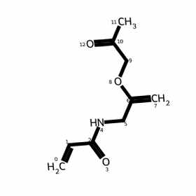 C=CC(=O)NCC(=C)OCC(C)=O